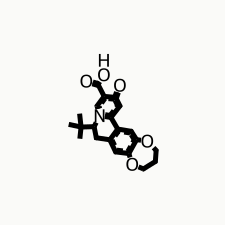 CC(C)(C)C1Cc2cc3c(cc2-c2cc(=O)c(C(=O)O)cn21)OCCCO3